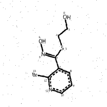 OCCS/C(=N\O)c1cccnc1Br